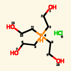 Cl.OCC[PH](CCO)(CCO)CCO